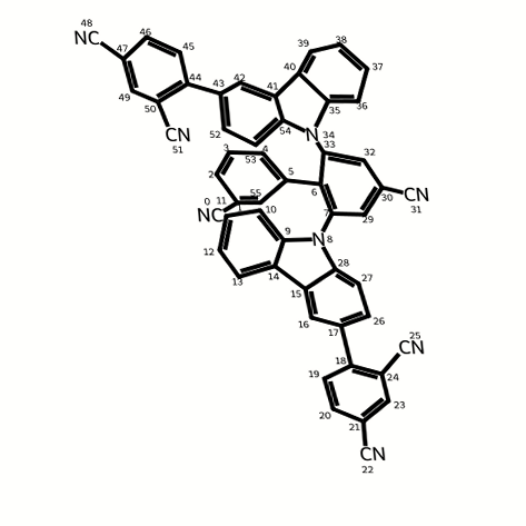 N#Cc1cccc(-c2c(-n3c4ccccc4c4cc(-c5ccc(C#N)cc5C#N)ccc43)cc(C#N)cc2-n2c3ccccc3c3cc(-c4ccc(C#N)cc4C#N)ccc32)c1